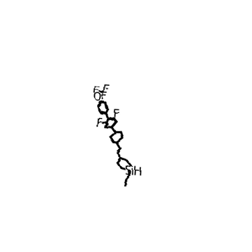 CCC[SiH]1CCC(CCC2CCC(c3cc(F)c(-c4ccc(OC(F)(F)F)cc4)c(F)c3)CC2)CC1